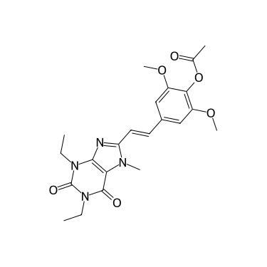 CCn1c(=O)c2c(nc(/C=C/c3cc(OC)c(OC(C)=O)c(OC)c3)n2C)n(CC)c1=O